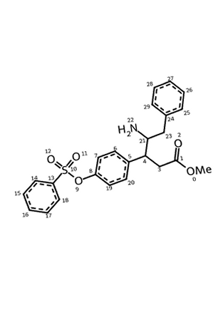 COC(=O)CC(c1ccc(OS(=O)(=O)c2ccccc2)cc1)C(N)Cc1ccccc1